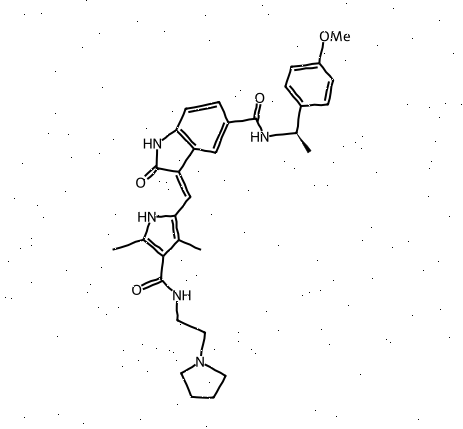 COc1ccc([C@@H](C)NC(=O)c2ccc3c(c2)/C(=C/c2[nH]c(C)c(C(=O)NCCN4CCCC4)c2C)C(=O)N3)cc1